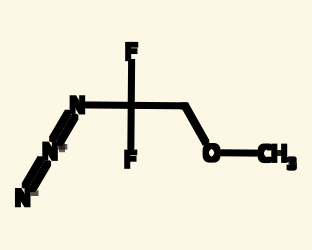 COCC(F)(F)N=[N+]=[N-]